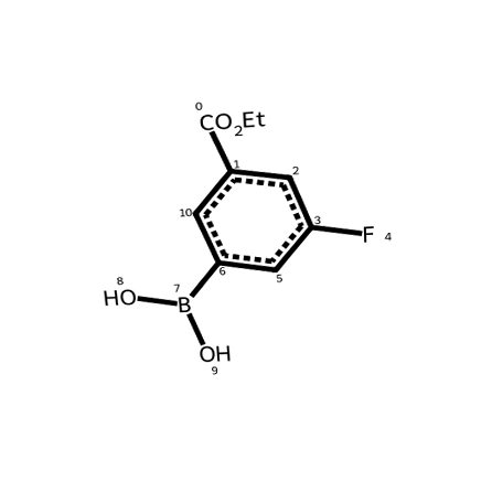 CCOC(=O)c1cc(F)cc(B(O)O)c1